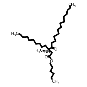 CCCCCCCCCCCCCC(=O)C(CCCCCCCCCC)(CC(=O)OCCCCCC)NC